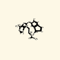 CCC(=O)NCCn1c(Sc2cc3c(cc2I)CCC3F)nc2c(N)ncnc21